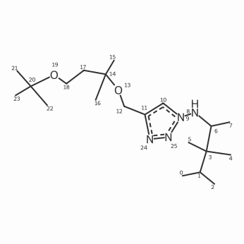 CC(C)C(C)(C)C(C)Nn1cc(COC(C)(C)CCOC(C)(C)C)nn1